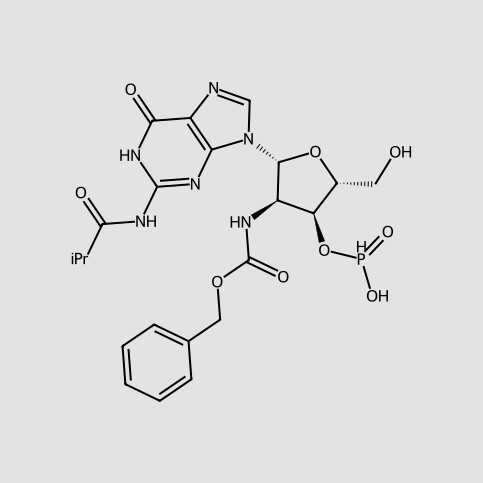 CC(C)C(=O)Nc1nc2c(ncn2[C@@H]2O[C@H](CO)[C@@H](O[PH](=O)O)[C@H]2NC(=O)OCc2ccccc2)c(=O)[nH]1